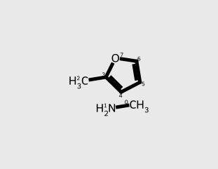 CN.Cc1ccco1